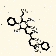 C=C(/C=C\C(=C)C(=C)/C=C1\C(=C)N(C)/C(=N\CC)N(c2ccccc2)C1O)Nc1ccccc1